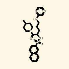 CC1CCN(C(=O)C(CCCNc2cnccn2)NS(=O)(=O)c2ccc3ccccc3c2)CC1